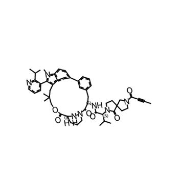 CC#CC(=O)N1CCC2(CCN([C@H](C(=O)N[C@H]3Cc4cccc(c4)-c4ccc5c(c4)c(c(-c4cccnc4C(C)C)n5C)CC(C)(C)COC(=O)[C@@H]4CCCN(N4)C3=O)C(C)C)C2=O)C1